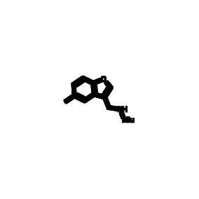 CCCCNCc1coc2ccc(C)cc12